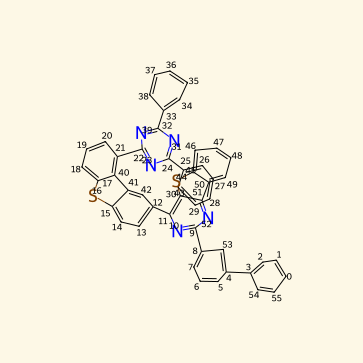 c1ccc(-c2cccc(-c3nc(-c4ccc5sc6cccc(-c7nc(-c8ccccc8)nc(-c8ccccc8)n7)c6c5c4)c4sc5ccccc5c4n3)c2)cc1